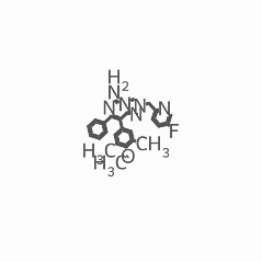 COc1c(C)cc(C2=C(c3ccccc3)N=C(N)N3CN(Cc4ccc(F)cn4)N=C23)cc1C